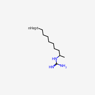 CCCCCCCCCCCCCCC(C)NC(=N)N